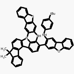 CC(C)(C)c1ccc(Nc2cc3c(cc2-c2ccc4c5c6c(ccc5n5c4c2Bc2cc4sc7ccccc7c4cc2-5)C(C)(C)c2ccccc2-6)oc2ccccc23)cc1